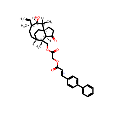 C=C[C@]1(C)CC[C@@H]2CC[C@]3(CCC(=O)[C@H]3[C@]2(C)COC(=O)COC(=O)/C=C/c2ccc(-c3ccccc3)cc2)[C@@H](C)[C@@H]1O